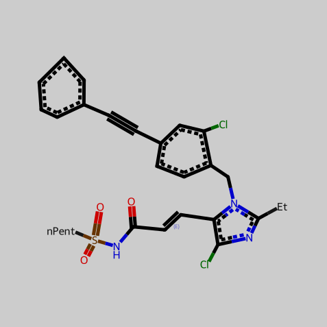 CCCCCS(=O)(=O)NC(=O)/C=C/c1c(Cl)nc(CC)n1Cc1ccc(C#Cc2ccccc2)cc1Cl